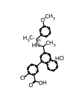 COc1cccc([C@@H](C)NC(C)c2cc(-c3ccc(Cl)c(C(=O)O)c3)c3ccccc3c2)c1.Cl